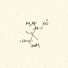 CC(=O)CN(N)C(C)(C)C(N)=O